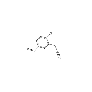 N#CCc1cc(C=O)ccc1Cl